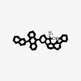 CC1(C)C2=CC=C(c3c4ccccc4c(-c4ccc5ccccc5c4)c4ccccc34)CC2c2ccc3ccc4c5ccccc5oc4c3c21